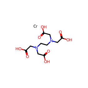 O=C(O)CN(CCN(CC(=O)O)CC(=O)O)CC(=O)O.[Cr]